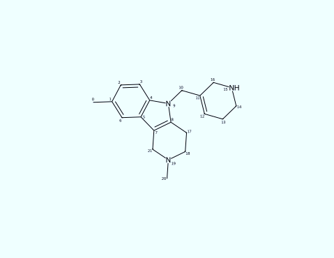 Cc1ccc2c(c1)c1c(n2CC2=CCCNC2)CCN(C)C1